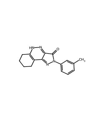 Cc1cccc(-n2nc3c4c([nH]nc-3c2=O)CCCC4)c1